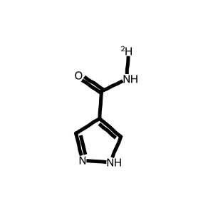 [2H]NC(=O)c1cn[nH]c1